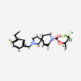 CCc1cc(CN2CCC3(CCN(C(=O)OC(C)C(F)(F)F)CC3)C2)ccc1F